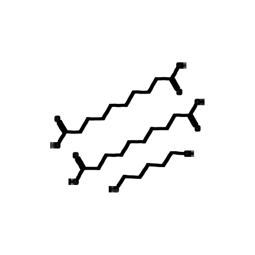 O=C(O)CCCCCCCCC(=O)O.O=C(O)CCCCCCCCC(=O)O.OCCCCCO